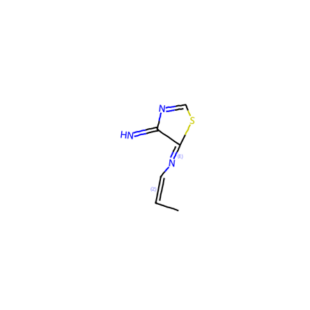 C/C=C\N=C1\SC=NC1=N